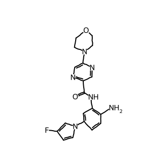 Nc1ccc(-n2ccc(F)c2)cc1NC(=O)c1cnc(N2CCOCC2)cn1